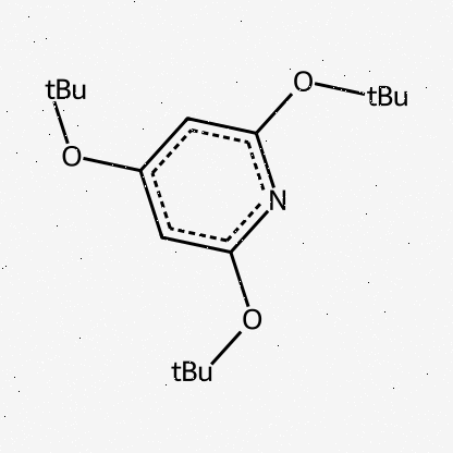 CC(C)(C)Oc1cc(OC(C)(C)C)nc(OC(C)(C)C)c1